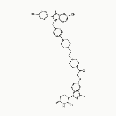 Cc1c(-c2ccc(O)cc2)n(Cc2ccc(N3CCC(CCN4CCN(C(=O)COc5ccc6c(C7CCC(=O)NC7=O)nn(C)c6c5)CC4)CC3)cc2)c2ccc(O)cc12